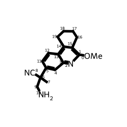 COc1nc2cc(C(C)(C#N)CN)ccc2c2c1CCCC2